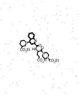 CCOC(=O)C1CCCN(c2cc(C(=O)NC(CCC(=O)O)C(=O)N3CCN(C(=O)OCC)CC3)nc3ccccc23)C1